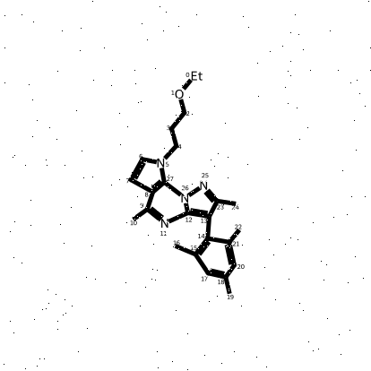 CCOCCCn1ccc2c(C)nc3c(-c4c(C)cc(C)cc4C)c(C)nn3c21